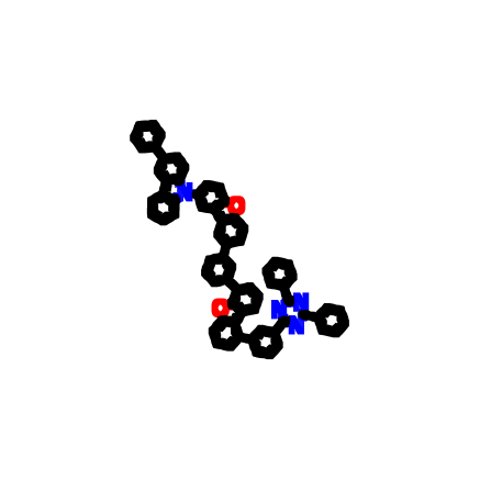 c1ccc(-c2ccc3c(c2)c2ccccc2n3-c2ccc3oc4ccc(-c5cccc(-c6cccc7c6oc6cccc(-c8cccc(-c9nc(-c%10ccccc%10)nc(-c%10ccccc%10)n9)c8)c67)c5)cc4c3c2)cc1